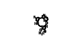 CO[C@H]1C[C@H]2COc3ccn4ncc(c4n3)-c3cc(F)cc(c3)NCCN2C1=O